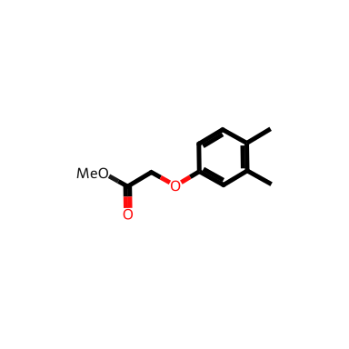 COC(=O)COc1ccc(C)c(C)c1